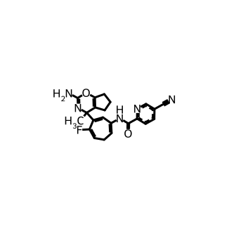 CC1(C2=CC(NC(=O)c3ccc(C#N)cn3)=CCC=C2F)N=C(N)OC2=C1CCC2